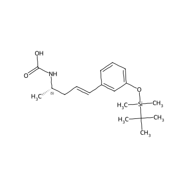 C[C@@H](CC=Cc1cccc(O[Si](C)(C)C(C)(C)C)c1)NC(=O)O